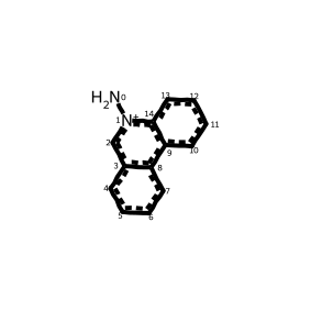 N[n+]1cc2ccccc2c2ccccc21